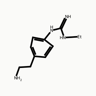 CCNC(=N)Nc1ccc(CCN)cc1